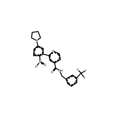 O=C(NCc1cccc(C(F)(F)F)c1)c1ccnc(-c2cc(N3CCCC3)ccc2[N+](=O)[O-])c1